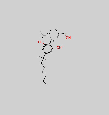 CCCCCCC(C)(C)c1cc(O)c([C@@H]2CC(CO)CC[C@H]2C(C)C)c(O)c1